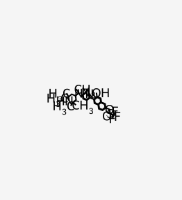 CN(c1ccc(-c2cc3ccc(OS(=O)C(F)(F)F)cc3cc2O)nn1)C1CC(C)(C)NC(C)(C)C1